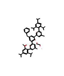 COCCOc1c(-c2cc(C)cc(-c3c(C(C)C)cc(C(C)C)cc3C(C)C)c2O)cc(Cc2ccccc2)cc1-c1cc(C)cc(-c2c(C(C)C)cc(C(C)C)cc2C(C)C)c1O